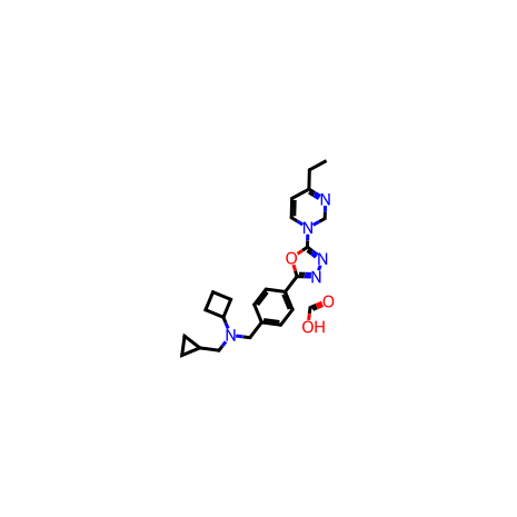 CCC1=NCN(c2nnc(-c3ccc(CN(CC4CC4)C4CCC4)cc3)o2)C=C1.O=CO